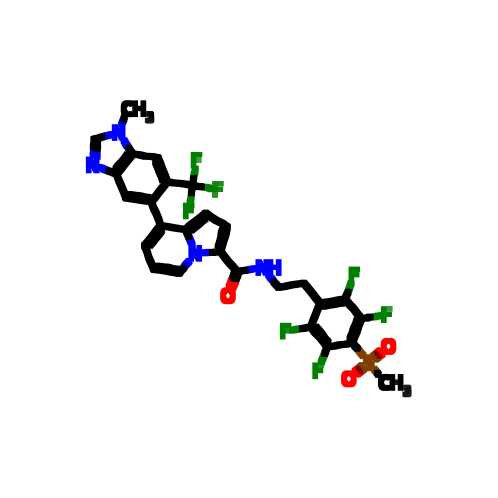 Cn1cnc2cc(-c3cccn4c(C(=O)NCCc5c(F)c(F)c(S(C)(=O)=O)c(F)c5F)ccc34)c(C(F)(F)F)cc21